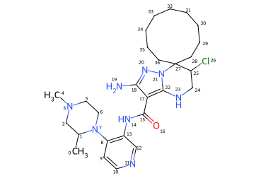 CC1CN(C)CCN1c1ccncc1NC(=O)c1c(N)nn2c1NCC(Cl)C21CCCCCCCCC1